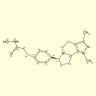 Cc1nn(C)c2c1CCN1C2CC[C@H]1c1ccc(CCC(=O)NO)cc1